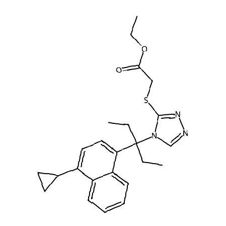 CCOC(=O)CSc1nncn1C(CC)(CC)c1ccc(C2CC2)c2ccccc12